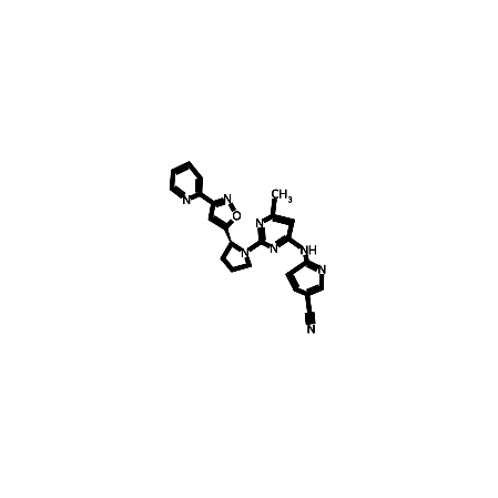 Cc1cc(Nc2ccc(C#N)cn2)nc(N2CCC[C@H]2c2cc(-c3ccccn3)no2)n1